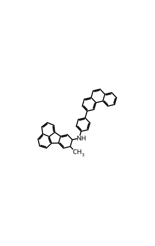 CC1C=C2C(=CC1Nc1ccc(-c3ccc4ccc5ccccc5c4c3)cc1)c1cccc3cccc2c13